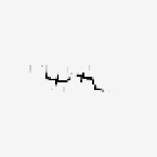 CC(C)(CN)CSC(C)(C)CCC(=O)O